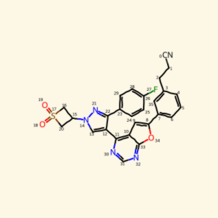 N#CCCc1cccc(-c2cc3c(-c4cn(C5CS(=O)(=O)C5)nc4-c4ccc(F)cc4)ncnc3o2)c1